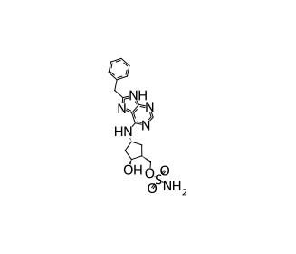 NS(=O)(=O)OC[C@@H]1C[C@@H](Nc2ncnc3[nH]c(Cc4ccccc4)nc23)C[C@@H]1O